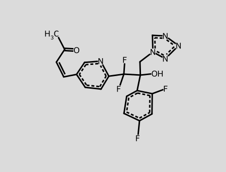 CC(=O)/C=C\c1ccc(C(F)(F)C(O)(Cn2cnnn2)c2ccc(F)cc2F)nc1